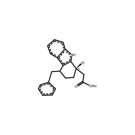 CC[C@@]1(CC(=O)OC)CCC(Cc2ccccc2)c2c1[nH]c1ccccc21